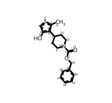 Cc1scc(O)c1C1CCN(C(=O)OCc2ccccc2)CC1